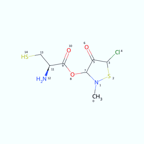 CN1SC(Cl)C(=O)C1OC(=O)[C@@H](N)CS